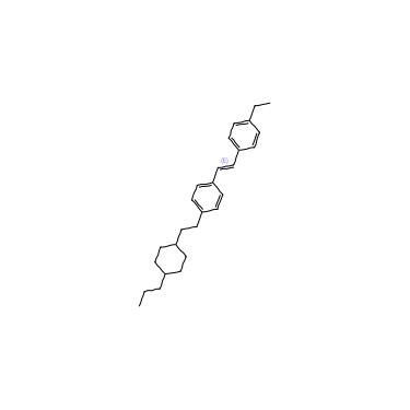 CCCC1CCC(CCc2ccc(/C=C/c3ccc(CC)cc3)cc2)CC1